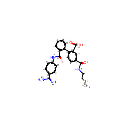 CSCCNC(=O)c1ccc(-c2ccccc2C(=O)Nc2ccc(C(=N)N)cc2)c(C(=O)O)c1